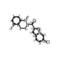 CN1c2cccc(F)c2CCN1C(=O)c1cc2ccc(Cl)cn2n1